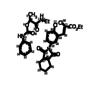 CCNC(=O)C(C)OC(=O)Nc1ccccc1.CCOC(=O)/C(Cl)=C/c1cc(N2C(=O)C3=C(CCCC3)C2=O)ccc1Cl